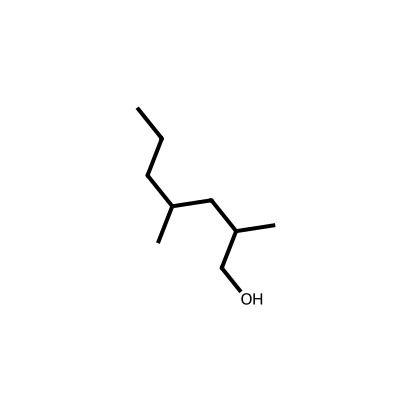 CCCC(C)CC(C)CO